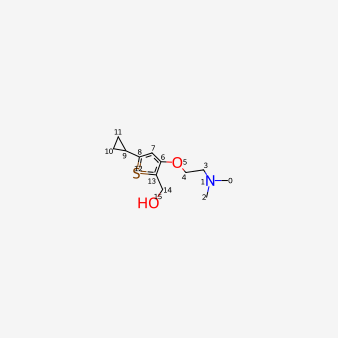 CN(C)CCOc1cc(C2CC2)sc1CO